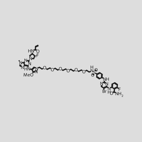 C=CC(=O)N[C@@H]1CN(c2nc(Nc3cn(CCOCCOCCOCCOCCOCCOCCNS(=O)(=O)c4ccc(Nc5ncc(Br)c(Nc6cccc(F)c6C(N)=O)n5)cc4)nc3OC)c3ncn(C)c3n2)C[C@H]1F